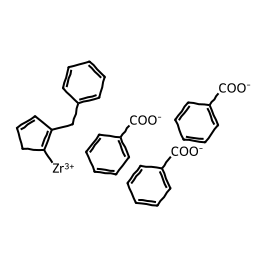 O=C([O-])c1ccccc1.O=C([O-])c1ccccc1.O=C([O-])c1ccccc1.[Zr+3][C]1=C(Cc2ccccc2)C=CC1